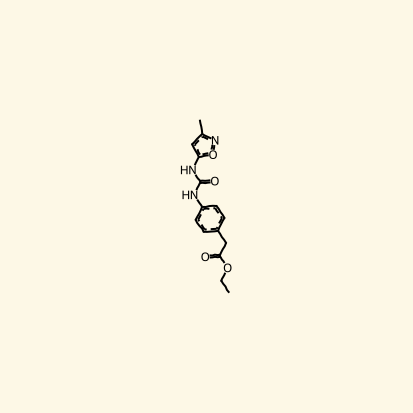 CCOC(=O)Cc1ccc(NC(=O)Nc2cc(C)no2)cc1